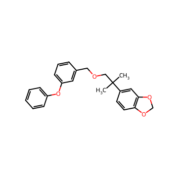 CC(C)(COCc1cccc(Oc2ccccc2)c1)c1ccc2c(c1)OCO2